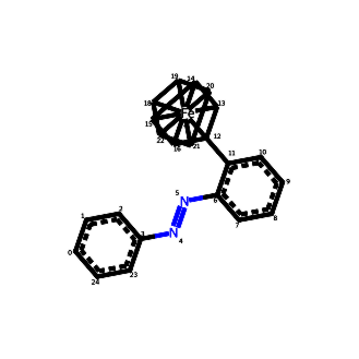 c1ccc(N=Nc2ccccc2[C]23[CH]4[CH]5[CH]6[CH]2[Fe]56432789[CH]3[CH]2[CH]7[CH]8[CH]39)cc1